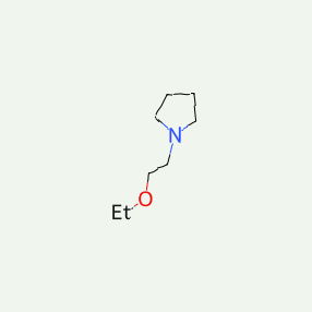 [CH2]COCCN1CCCC1